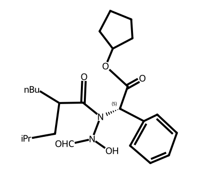 CCCCC(CC(C)C)C(=O)N([C@H](C(=O)OC1CCCC1)c1ccccc1)N(O)C=O